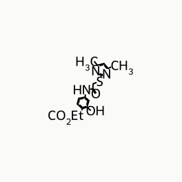 CCOC(=O)c1ccc(NC(=O)CSc2nc(C)cc(C)n2)cc1O